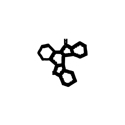 C1=Cc2c(c3sc4ccccc4c3c3c2[nH]c2ccccc23)CC1